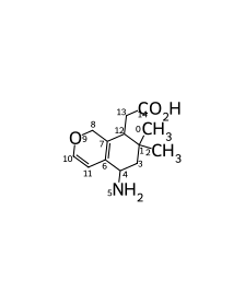 CC1(C)CC(N)C2=C(COC=C2)C1CC(=O)O